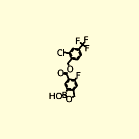 O=C(OCc1ccc(C(F)(F)F)cc1Cl)c1cc2c(cc1F)COB2O